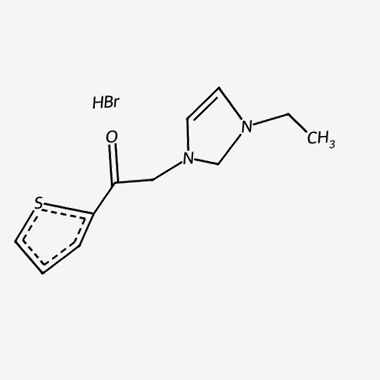 Br.CCN1C=CN(CC(=O)c2cccs2)C1